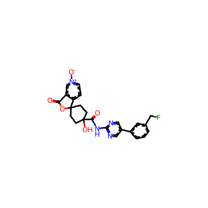 O=C1OC2(CCC(O)(C(=O)Nc3ncc(-c4cccc(CF)c4)cn3)CC2)c2cc[n+]([O-])cc21